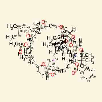 C=C1[C@H](C)CC2CC[C@@H]3O[C@@H](CCC(OC(=O)c4ccccc4)/C=C/[C@H](O[Si](C)(C)C(C)(C)C)[C@@H]4O[C@H]5CCC(CC(=O)C[C@@H]6[C@@H](C)[C@@H](C[C@H](C)CC)O[C@H]6C[C@H]1OC(C)=O)O[C@@H]5[C@H](O[Si](C)(C)C(C)(C)C)[C@@H]4O[Si](C)(C)C(C)(C)C)C[C@]3(CI)O2